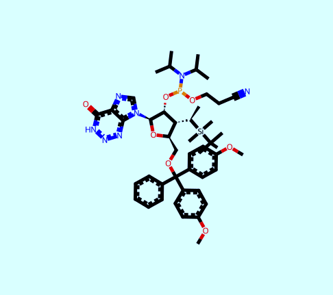 COc1ccc(C(OC[C@H]2O[C@@H](n3cnc4c(=O)[nH]nnc43)[C@H](OP(OCCC#N)N(C(C)C)C(C)C)[C@@H]2[C@@H](C)[Si](C)(C)C(C)(C)C)(c2ccccc2)c2ccc(OC)cc2)cc1